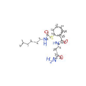 CCCCCCNC(=O)Sc1ccccc1C(=O)NCCC(N)=O